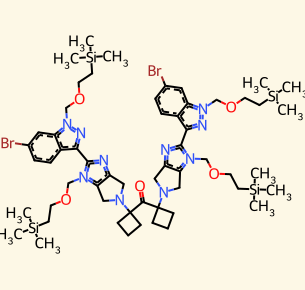 C[Si](C)(C)CCOCn1c(-c2nn(COCC[Si](C)(C)C)c3cc(Br)ccc23)nc2c1CN(C1(C(=O)C3(N4Cc5nc(-c6nn(COCC[Si](C)(C)C)c7cc(Br)ccc67)n(COCC[Si](C)(C)C)c5C4)CCC3)CCC1)C2